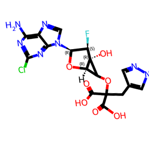 Nc1nc(Cl)nc2c1ncn2[C@@H]1O[C@@H]2C(OC(Cc3cn[nH]c3)(C(=O)O)C(=O)O)[C@]2(O)[C@@H]1F